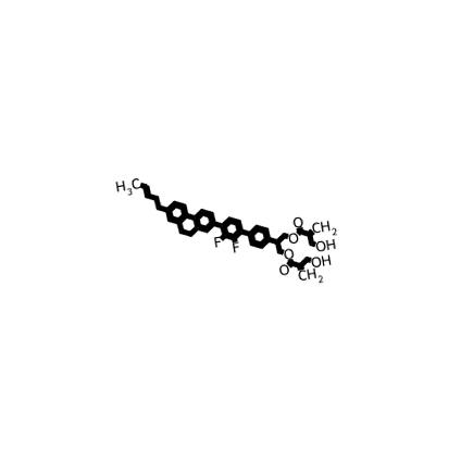 C=C(CO)C(=O)OCC(COC(=O)C(=C)CO)c1ccc(-c2ccc(-c3ccc4c(c3)CCc3cc(CC/C=C/C)ccc3-4)c(F)c2F)cc1